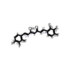 O=C(/C=C(O)/C=C/c1ccc(F)c(F)c1F)/C=C/c1ccc(F)c(F)c1F